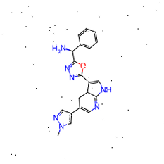 Cn1cc(C2=CN=C3NC=C(c4nnc([C@@H](N)c5ccccc5)o4)C3C2)cn1